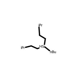 CCCC[SiH](CCC(C)C)CCC(C)C